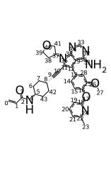 C=CC(=O)N[C@H]1CC[C@H](C#Cc2c(-c3ccc(Oc4cccc(C)n4)c(OC)c3)c3c(N)ncnc3n2C2CCOC2)CC1